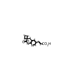 O=C(O)/C=C/c1cnc2c(c1)CC1(CCC1)C(=O)N2